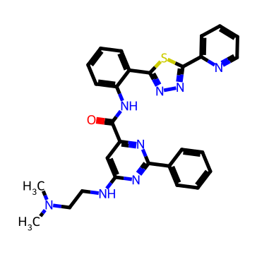 CN(C)CCNc1cc(C(=O)Nc2ccccc2-c2nnc(-c3ccccn3)s2)nc(-c2ccccc2)n1